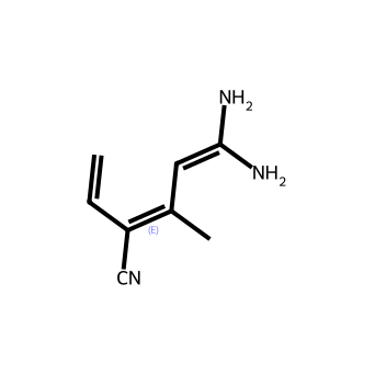 C=C/C(C#N)=C(/C)C=C(N)N